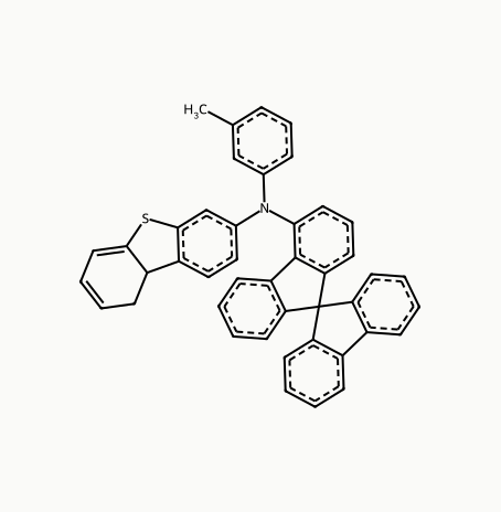 Cc1cccc(N(c2ccc3c(c2)SC2=CC=CCC23)c2cccc3c2-c2ccccc2C32c3ccccc3-c3ccccc32)c1